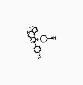 CSc1ccc(-c2nc3cnc4[nH]ccc4c3n2[C@H]2CC[C@H](C#N)CC2)cc1